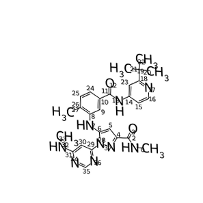 CNC(=O)c1cc(Nc2cc(C(=O)Nc3ccnc(C(C)(C)C)c3)ccc2C)n(-c2cc(NC)ncn2)n1